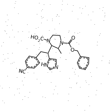 CC1C(C(Cc2ccc(C#N)cc2)c2cnc[nH]2)N(C(=O)O)CCN1C(=O)OCc1ccccc1